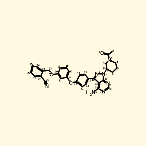 CC(=O)N1CCC[C@@H](n2nc(-c3ccc(Oc4cccc(OCc5ccccc5C#N)c4)cc3)c3c(N)ncnc32)C1